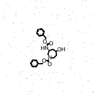 O=C(N[C@H]1CC(O)CCN(C(=O)OCc2ccccc2)C1)OCc1ccccc1